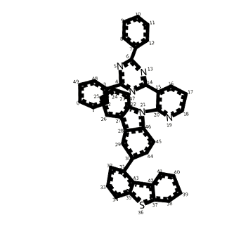 c1ccc(-c2nc(-c3ccccc3)nc(-c3cccnc3-n3c4ccccc4c4cc(-c5cccc6sc7ccccc7c56)ccc43)n2)cc1